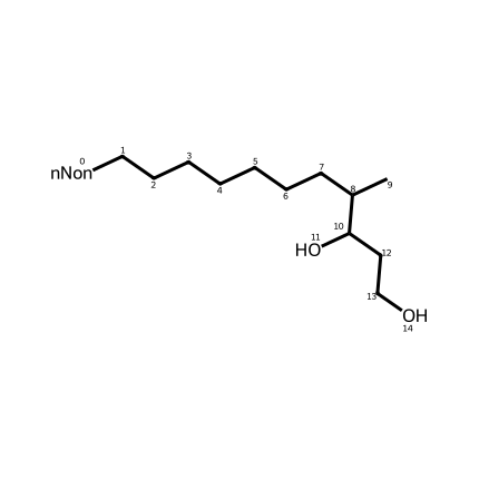 CCCCCCCCCCCCCCCCC(C)C(O)CCO